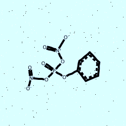 O=[N+]([O-])OP(=O)(Oc1ccccc1)O[N+](=O)[O-]